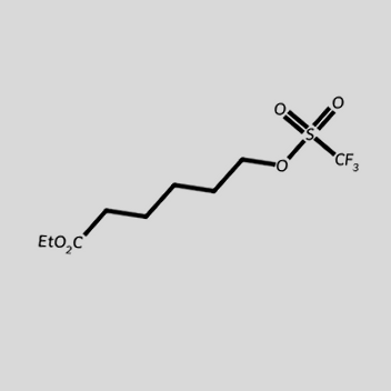 CCOC(=O)CCCCCOS(=O)(=O)C(F)(F)F